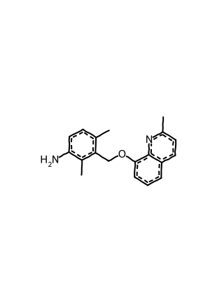 Cc1ccc2cccc(OCc3c(C)ccc(N)c3C)c2n1